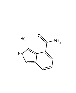 Cl.NC(=O)c1cccc2c[nH]cc12